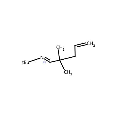 C=CCC(C)(C)/C=N/C(C)(C)C